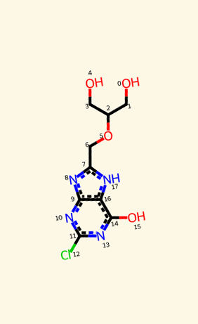 OCC(CO)OCc1nc2nc(Cl)nc(O)c2[nH]1